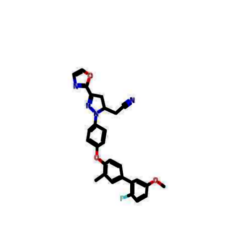 COc1ccc(F)c(-c2ccc(Oc3ccc(N4N=C(c5ncco5)CC4CC#N)cc3)c(C)c2)c1